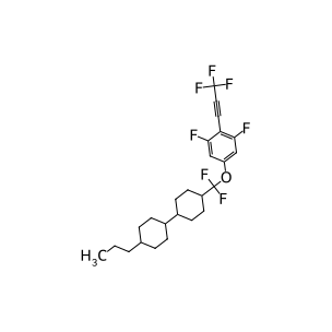 CCCC1CCC(C2CCC(C(F)(F)Oc3cc(F)c(C#CC(F)(F)F)c(F)c3)CC2)CC1